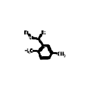 CCOC(CC)c1cc(C)ccc1C